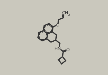 C=CCOc1ccc2cccc3c2c1CC(CNC(=O)C1CCC1)C3